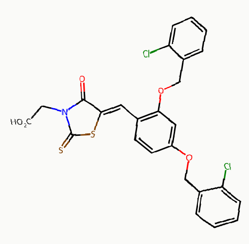 O=C(O)CN1C(=O)C(=Cc2ccc(OCc3ccccc3Cl)cc2OCc2ccccc2Cl)SC1=S